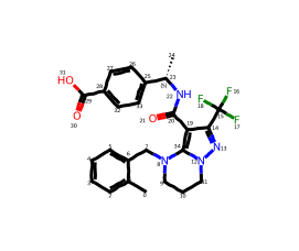 Cc1ccccc1CN1CCCn2nc(C(F)(F)F)c(C(=O)N[C@@H](C)c3ccc(C(=O)O)cc3)c21